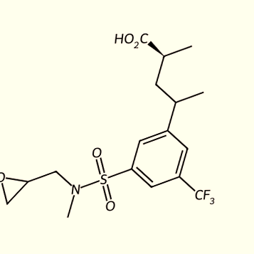 CC(C[C@H](C)C(=O)O)c1cc(C(F)(F)F)cc(S(=O)(=O)N(C)CC2CO2)c1